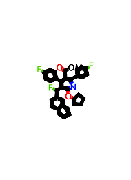 COC(=O)c1c(-c2ccc(F)cc2)nc(OC2CCCC2)c(C(F)c2ccc3ccccc3c2)c1-c1ccc(F)cc1